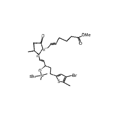 COC(=O)CCCC=CC[C@H]1C(=O)CC(C)[C@@H]1C=CC(CCc1cc(Br)c(C)s1)O[Si](C)(C)C(C)(C)C